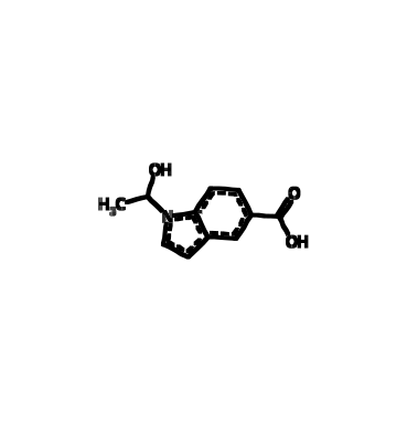 CC(O)n1ccc2cc(C(=O)O)ccc21